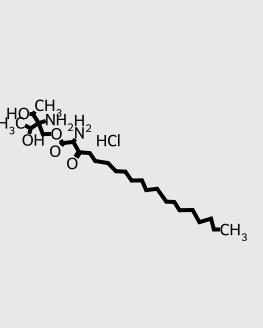 CCCCCCCCCCCCCCCCCC(=O)C(N)C(=O)OCC(N)(C(C)O)C(C)O.Cl